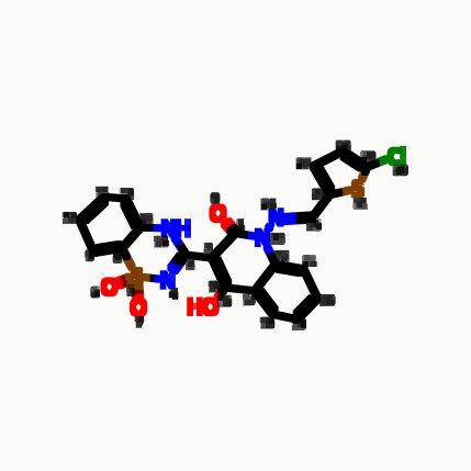 O=c1c(C2=NS(=O)(=O)c3ccccc3N2)c(O)c2ccccc2n1/N=C/c1ccc(Cl)s1